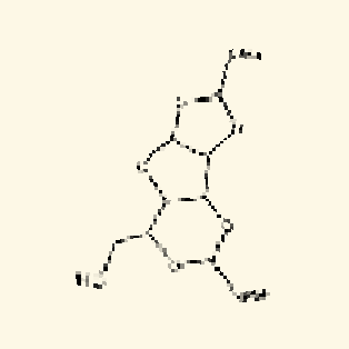 CNC1OC2OC3C(CO)OC(NC)OC3C2O1